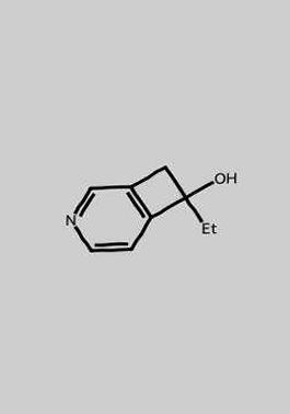 CCC1(O)Cc2cnccc21